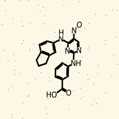 O=Nc1cnc(Nc2cccc(C(=O)O)c2)nc1Nc1ccc2c(c1)CCC2